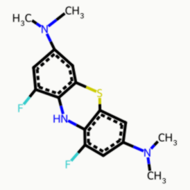 CN(C)c1cc(F)c2c(c1)Sc1cc(N(C)C)cc(F)c1N2